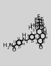 C[C@]12C[C@H](c3ccc(CNc4ccc(C(N)=O)cc4)cc3)C3=C4CCC(=O)C=C4CC[C@H]3[C@@H]1CC[C@@]2(O)C(F)(F)C(F)(F)F